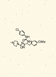 COc1ccc(CC(NC(=O)Nc2ccc(Cl)cc2)c2noc(N3CCN(C)CC3)n2)cc1